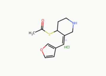 CC(=O)SC1CCNC/C1=C/c1ccoc1.Cl